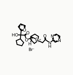 O=C(C[N+]12CCC(CC1)[C@@H](OC(=O)C(O)(c1ccco1)C1CCCC1)C2)Nc1cnccn1.[Br-]